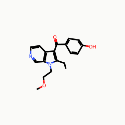 CCc1c(C(=O)c2ccc(O)cc2)c2ccncc2n1CCOC